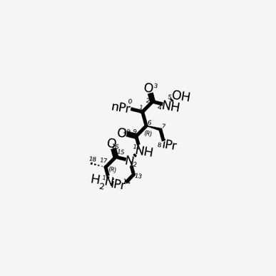 CCCC(C(=O)NO)[C@@H](CC(C)C)C(=O)NN(CC(C)C)C(=O)[C@@H](C)N